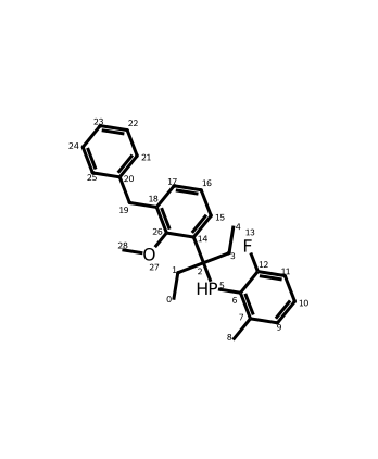 CCC(CC)(Pc1c(C)cccc1F)c1cccc(Cc2ccccc2)c1OC